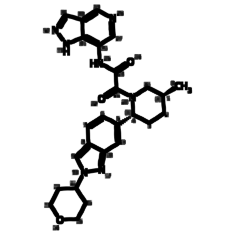 C[C@H]1CC[C@H](c2ccc3cn(C4CCOCC4)nc3c2)N(C(=O)C(=O)Nc2cncc3cn[nH]c23)C1